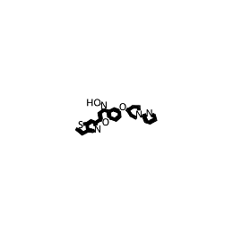 ON=c1cc(-c2cc3sccc3cn2)oc2ccc(OC3CCN(c4ccccn4)CC3)cc12